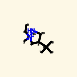 CC[N+]1(C)CC(C(C)(C)C)CN1